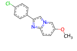 COc1ccc2nc(-c3ccc(Cl)cc3)cn2c1